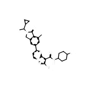 Cc1cc(-c2ccn3nc(N)c(C(=O)NC4CCC(O)CC4)c3n2)cc2c1C(=O)N(C(C)C1CC1)C2